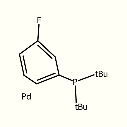 CC(C)(C)P(c1cccc(F)c1)C(C)(C)C.[Pd]